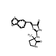 CC1(NC2=N/C(=C\c3ccc4ncsc4c3)C(=O)N2)CCNC1=O